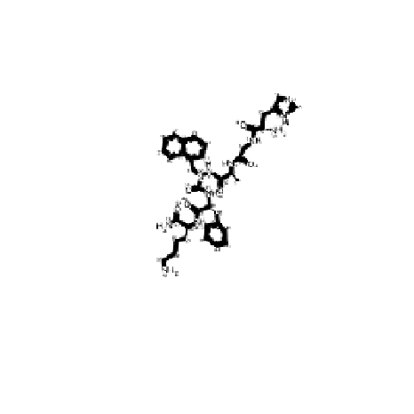 C[C@H](NC(=O)CNC(=O)[C@@H](N)Cc1cnc[nH]1)C(=O)NN(Cc1cccc2ccccc12)C(=O)N[C@H](Cc1ccccc1)C(=O)N[C@@H](CCCCN)C(N)=O